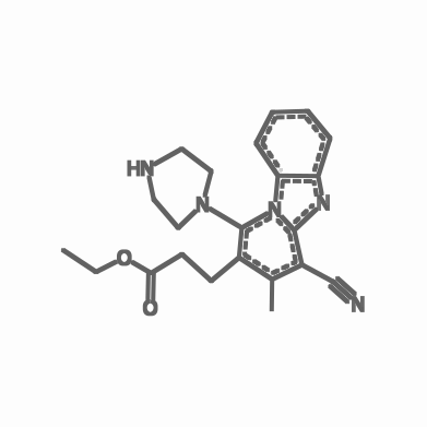 CCOC(=O)CCc1c(C)c(C#N)c2nc3ccccc3n2c1N1CCNCC1